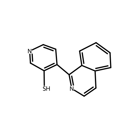 Sc1cnccc1-c1nccc2ccccc12